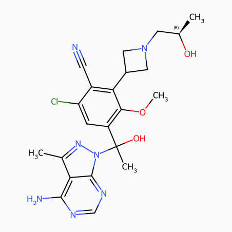 COc1c(C(C)(O)n2nc(C)c3c(N)ncnc32)cc(Cl)c(C#N)c1C1CN(C[C@@H](C)O)C1